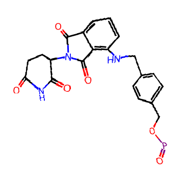 O=POCc1ccc(CNc2cccc3c2C(=O)N(C2CCC(=O)NC2=O)C3=O)cc1